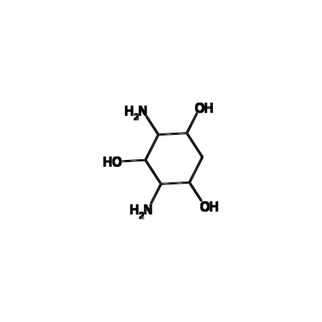 NC1C(O)CC(O)C(N)C1O